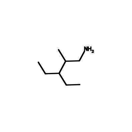 CCC(CC)C(C)CN